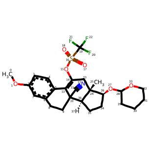 COc1ccc2c(c1)CCC1(C#N)C2=C(OS(=O)(=O)C(F)(F)F)C[C@]2(C)[C@@H](OC3CCCCO3)CC[C@@H]12